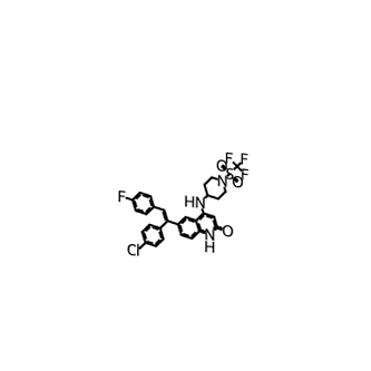 O=c1cc(NC2CCN(S(=O)(=O)C(F)(F)F)CC2)c2cc(C(=Cc3ccc(F)cc3)c3ccc(Cl)cc3)ccc2[nH]1